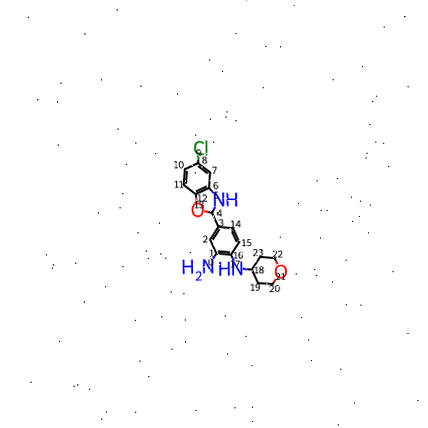 Nc1cc(C2Nc3cc(Cl)ccc3O2)ccc1NC1CCOCC1